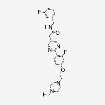 O=C(Cc1cnc(-c2ccc(OCCN3CCN(CI)CC3)cc2F)nc1)NCc1cccc(F)c1